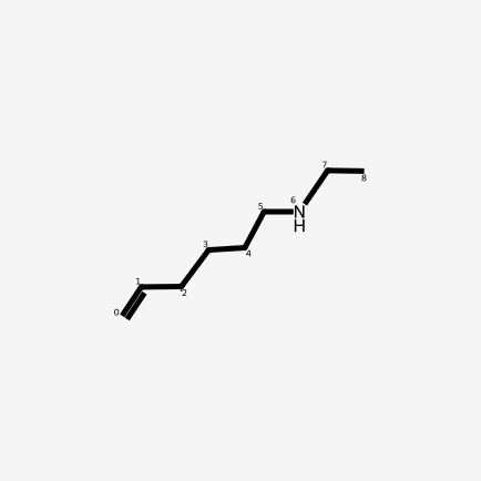 C=C[CH]CCCNCC